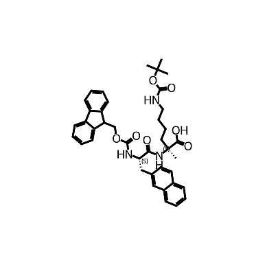 CC(C)(C)OC(=O)NCCCC[C@](C)(NC(=O)[C@H](Cc1ccc2ccccc2c1)NC(=O)OCC1c2ccccc2-c2ccccc21)C(=O)O